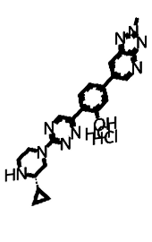 Cl.Cl.Cn1nc2cc(-c3ccc(-c4cnc(N5CCN[C@@H](C6CC6)C5)nn4)c(O)c3)cnc2n1